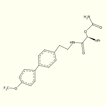 CCC[C@H](OC(N)=O)C(=O)NCCc1ccc(-c2ccc(OC(F)(F)F)cc2)cc1